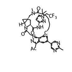 CC(=O)c1nn2c3c(cc(-c4cnc(C)nc4)cc13)CCCCCC(C)(C)C(=O)N(C)C[C@@]13C[C@@H](C(=O)Nc4ccn(CC(F)(F)F)n4)N(C(=O)C2)[C@@H]1C3